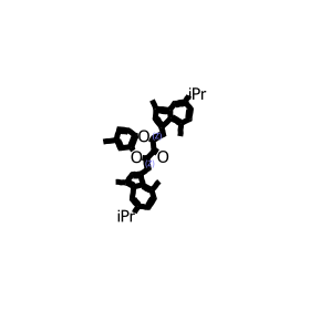 Cc1ccc2c(c1)O/C(=C\c1cc(C)c3cc(C(C)C)ccc(C)c1-3)C(=O)/C(=C/c1cc(C)c3cc(C(C)C)ccc(C)c1-3)O2